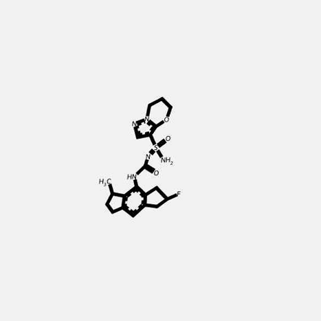 CC1CCc2cc3c(c(NC(=O)N=S(N)(=O)c4cnn5c4OCCC5)c21)CC(F)C3